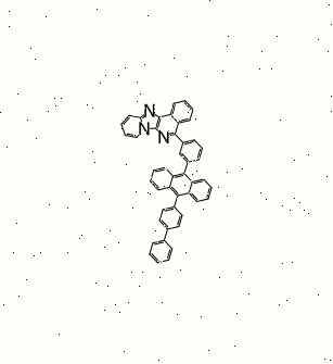 c1ccc(-c2ccc(-c3c4ccccc4c(-c4cccc(-c5nc6c(nc7ccccn76)c6ccccc56)c4)c4ccccc34)cc2)cc1